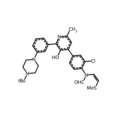 CS/C=C\N(C=O)c1ccc(-c2cc(C)nc(-c3cccc(N4CCN(C(C)(C)C)CC4)c3)c2O)cc1Cl